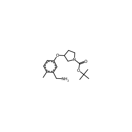 Cc1ccc(OC2CCN(C(=O)OC(C)(C)C)C2)cc1CN